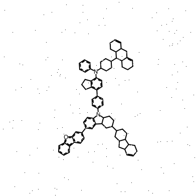 C1=CC2CC3CC(C4CCC5C(C4)c4cc(-c6ccc7c(c6)oc6ccccc67)ccc4N5c4ccc(-c5ccc(N(c6ccccc6)C6CCC(C7C8CCCC=C8CC8C=CCCC87)CC6)c6c5CCC6)cc4)CCC3C2CC1